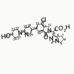 O=C(O)C(c1ncn2c1CCC2)N1Cc2c(Cl)cc(-c3ccc(N4CCC(O)CC4)nc3)cc2C1=O